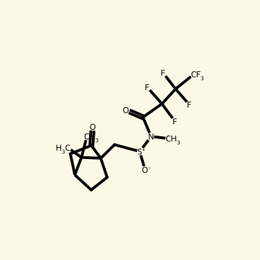 CN(C(=O)C(F)(F)C(F)(F)C(F)(F)F)[S+]([O-])CC12CCC(CC1=O)C2(C)C